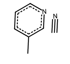 C#N.Cc1cccnc1